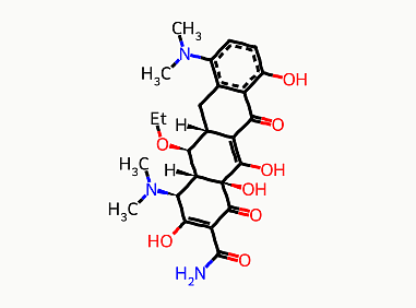 CCO[C@@H]1[C@H]2[C@H](N(C)C)C(O)=C(C(N)=O)C(=O)[C@@]2(O)C(O)=C2C(=O)c3c(O)ccc(N(C)C)c3C[C@H]21